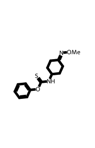 CON=C1CCC(NC(=S)Oc2ccccc2)CC1